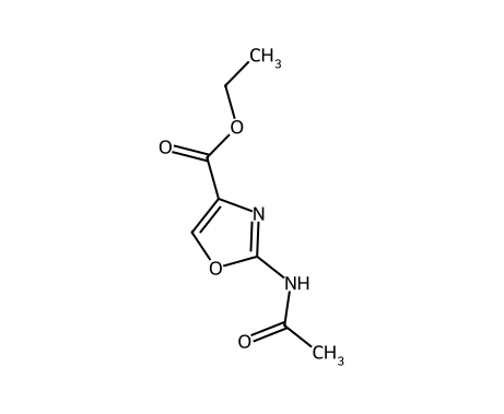 CCOC(=O)c1coc(NC(C)=O)n1